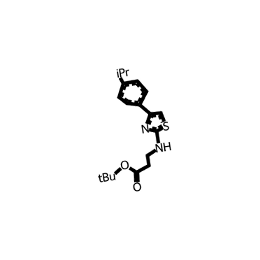 CC(C)c1ccc(-c2csc(NCCC(=O)OC(C)(C)C)n2)cc1